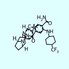 CC(=O)c1ccc(N2[C@@H]3CC[C@H]2C[C@@H](NC(=O)c2cc(NC4CCC(C(F)(F)F)CC4)c(C(N)=O)cc2C)C3)nc1